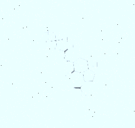 CC(C)(C)OC(=O)N[C@H]1CC[C@H]2CC[C@@H](C(=O)O)N2C1=O